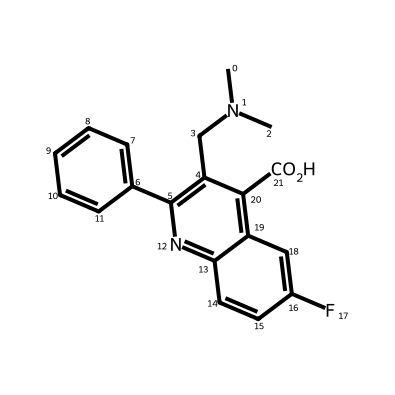 CN(C)Cc1c(-c2ccccc2)nc2ccc(F)cc2c1C(=O)O